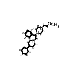 COCCN1CCN(C(CN2CCC(C3CCCCC3)CC2)c2ccccc2)CC1